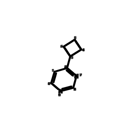 c1cc(C2CCC2)ncn1